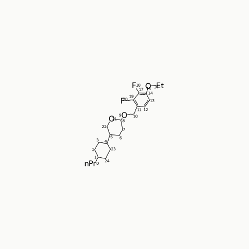 CCCC1CCC(C2CCC(OCc3ccc(OCC)c(F)c3F)OC2)CC1